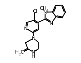 C=C1CN(c2cc(-c3nc4ccccc4n3C)c(Cl)cn2)CCN1